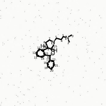 CN(C)CCCN1CC[C@H]2c3ccccc3C(c3ccccc3)O[C@H]2C1